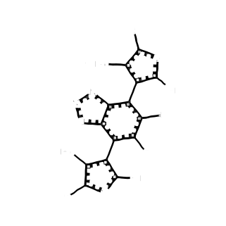 [2H]c1sc(Br)c(CCCCCC)c1-c1c(F)c(F)c(-c2c([2H])sc(Br)c2CCCCCC)c2snnc12